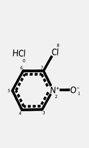 Cl.[O-][n+]1ccccc1Cl